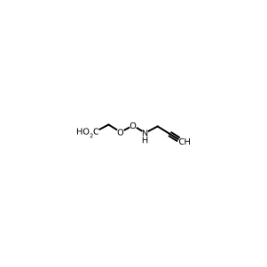 C#CCNOOCC(=O)O